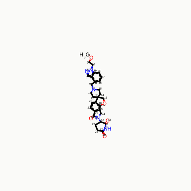 COCCn1ncc2c(CN3CCC4(CC3)COc3c4ccc4c3CN(C3CCC(=O)NC3=O)C4=O)cccc21